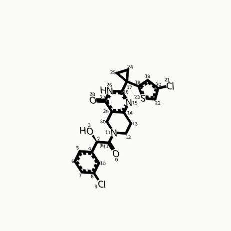 O=C([C@H](O)c1cccc(Cl)c1)N1CCc2nc(C3(c4cc(Cl)cs4)CC3)[nH]c(=O)c2C1